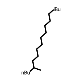 CCCCC(C)CCCCCCCCCC(C)CC